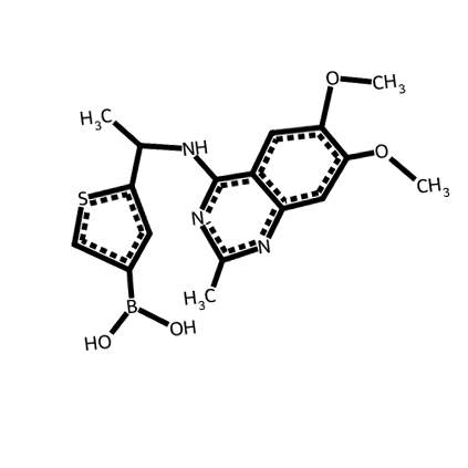 COc1cc2nc(C)nc(NC(C)c3cc(B(O)O)cs3)c2cc1OC